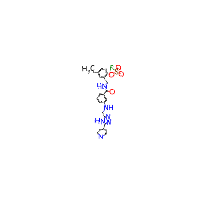 CCc1ccc(OS(=O)(=O)F)c(CNC(=O)c2cccc(NCc3nnc(-c4ccncc4)[nH]3)c2)c1